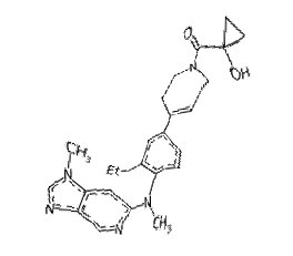 CCc1cc(C2=CCN(C(=O)C3(O)CC3)CC2)ccc1N(C)c1cc2c(cn1)ncn2C